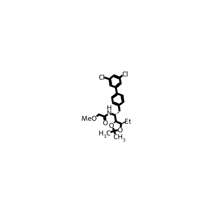 CC[C@H]1OC(C)(C)O[C@H]1[C@@H](Cc1ccc(-c2cc(Cl)cc(Cl)c2)cc1)NC(=O)COC